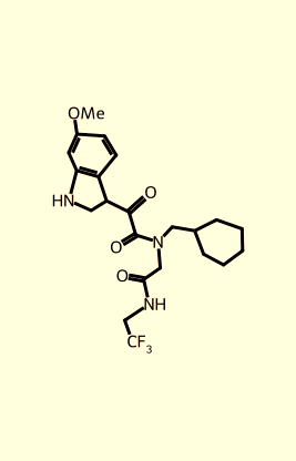 COc1ccc2c(c1)NCC2C(=O)C(=O)N(CC(=O)NCC(F)(F)F)CC1CCCCC1